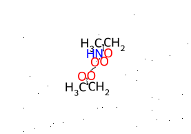 C=C(C)C(=O)NC(=O)OCCOC(=O)C(=C)C